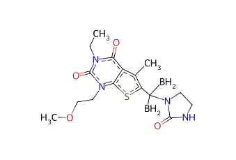 BC(B)(c1sc2c(c1C)c(=O)n(CC)c(=O)n2CCOC)N1CCNC1=O